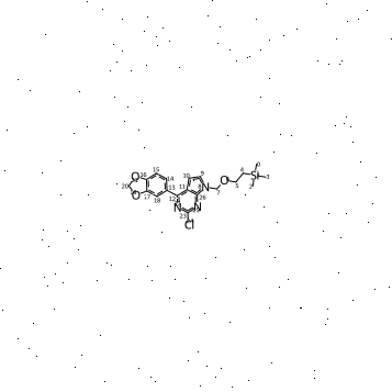 C[Si](C)(C)CCOCn1ccc2c(-c3ccc4c(c3)OCO4)nc(Cl)nc21